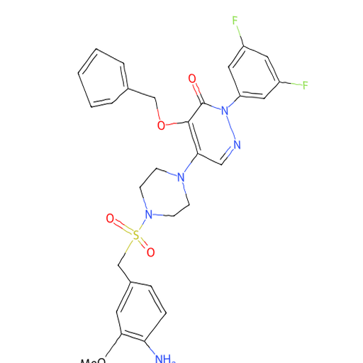 COc1cc(CS(=O)(=O)N2CCN(c3cnn(-c4cc(F)cc(F)c4)c(=O)c3OCc3ccccc3)CC2)ccc1N